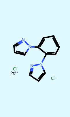 [Cl-].[Cl-].[Pt+2].c1ccc(-n2cccn2)c(-n2cccn2)c1